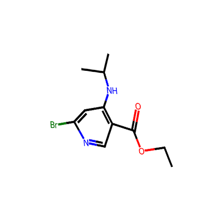 CCOC(=O)c1cnc(Br)cc1NC(C)C